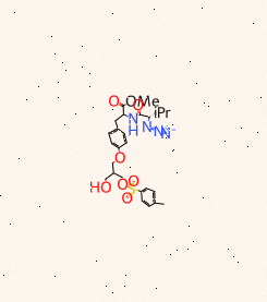 COC(=O)C(Cc1ccc(OCC(CO)COS(=O)(=O)c2ccc(C)cc2)cc1)NC(=O)[C@@H](N=[N+]=[N-])C(C)C